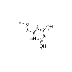 CSCc1nc(O)cc(O)n1